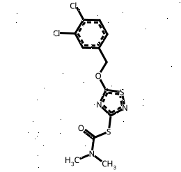 CN(C)C(=O)Sc1nsc(OCc2ccc(Cl)c(Cl)c2)n1